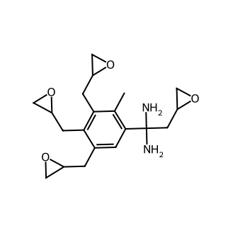 Cc1c(C(N)(N)CC2CO2)cc(CC2CO2)c(CC2CO2)c1CC1CO1